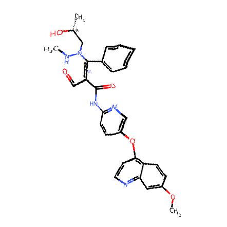 CNN(C[C@@H](C)O)/C(=C(\C=O)C(=O)Nc1ccc(Oc2ccnc3cc(OC)ccc23)cn1)c1ccccc1